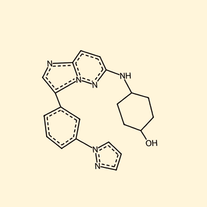 OC1CCC(Nc2ccc3ncc(-c4cccc(-n5cccn5)c4)n3n2)CC1